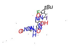 CC1=C(I)C(C)c2cc(C(C)(C)C)cc(F)c2C(=O)N1c1nccc(-c2cc(Nc3cc4n(n3)CCN(C3COC3)C4)c(=O)n(C)n2)c1CO